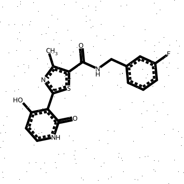 Cc1nc(-c2c(O)cc[nH]c2=O)sc1C(=O)NCc1cccc(F)c1